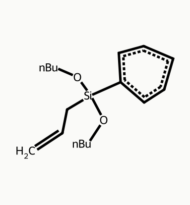 C=CC[Si](OCCCC)(OCCCC)c1ccccc1